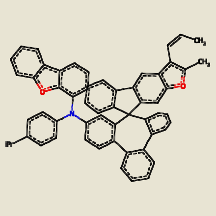 C/C=C\c1c(C)oc2cc3c(cc12)-c1ccccc1C31c2ccccc2-c2ccccc2-c2ccc(N(c3ccc(C(C)C)cc3)c3cccc4c3oc3ccccc34)cc21